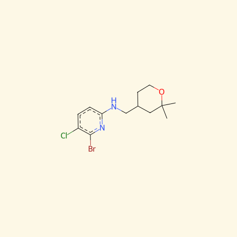 CC1(C)CC(CNc2ccc(Cl)c(Br)n2)CCO1